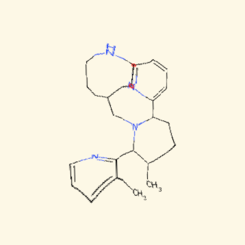 Cc1cccnc1C1C(C)CCC(c2ccccn2)N1CC1CCNCC1